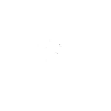 CC(c1ccccc1)n1c(CO)nc2ccc(Br)cc21